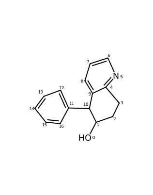 OC1CCc2ncccc2C1c1ccccc1